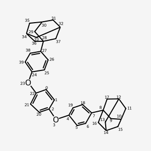 c1cc(Oc2ccc(C34CC5CC(CC(C5)C3)C4)cc2)ccc1Oc1ccc(C23CC4CC(CC(C4)C2)C3)cc1